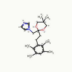 Cc1cc(C)c(C)c(CCC2(Cn3ccnc3)OCC(C)(C)CO2)c1C